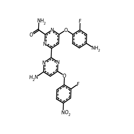 NC(=O)c1nc(Oc2ccc(N)cc2F)cc(-c2nc(N)cc(Oc3ccc([N+](=O)[O-])cc3F)n2)n1